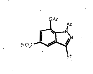 CCOC(=O)c1cc(OC(C)=O)c2c(c1)c(CC)nn2C(C)=O